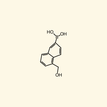 OCc1cccc2cc(B(O)O)ccc12